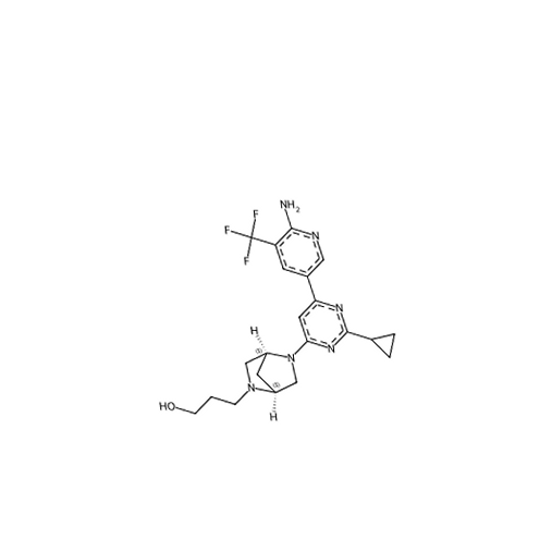 Nc1ncc(-c2cc(N3C[C@@H]4C[C@H]3CN4CCCO)nc(C3CC3)n2)cc1C(F)(F)F